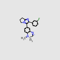 C=Nc1ccc(-c2c(-c3cccc(F)c3)nc3n2CCC3)cc1/N=C\C